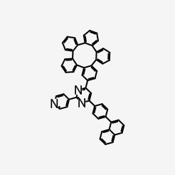 c1ccc2c(-c3ccc(-c4cc(-c5ccc6c7ccccc7c7ccccc7c7ccccc7c7ccccc7c6c5)nc(-c5ccncc5)n4)cc3)cccc2c1